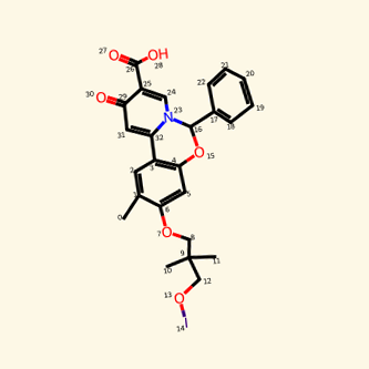 Cc1cc2c(cc1OCC(C)(C)COI)OC(c1ccccc1)n1cc(C(=O)O)c(=O)cc1-2